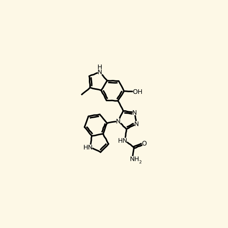 Cc1c[nH]c2cc(O)c(-c3nnc(NC(N)=O)n3-c3cccc4[nH]ccc34)cc12